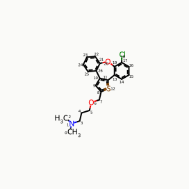 CN(C)CCCOCc1cc2c(s1)-c1cccc(Cl)c1Oc1ccccc1-2